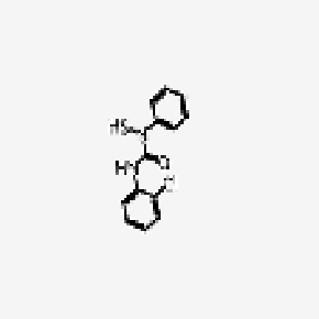 O=C(Nc1ccccc1Cl)N(S)c1cc[c]cc1